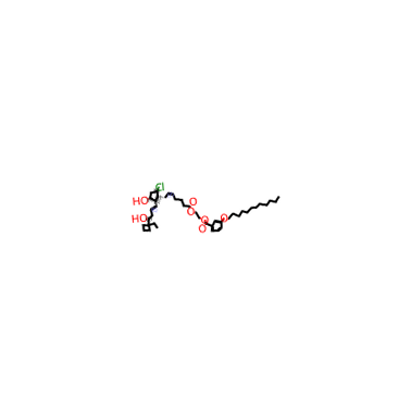 CCCCCCCCCCCCOc1cccc(C(=O)OCCOC(=O)CCC/C=C\C[C@@H]2[C@@H](/C=C/C[C@H](O)C3(CC)CCC3)[C@H](O)C[C@H]2Cl)c1